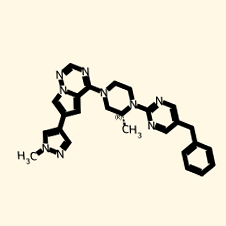 C[C@@H]1CN(c2ncnn3cc(-c4cnn(C)c4)cc23)CCN1c1ncc(Cc2ccccc2)cn1